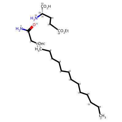 CCCCCCCCCCCC(N)=O.CCCCCCCCCCCCC.CCOC(=O)CC[C@H](N)C(=O)O